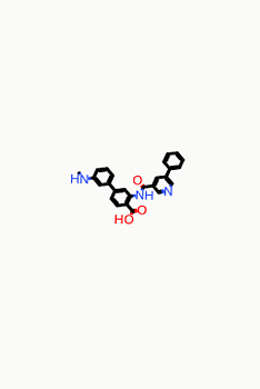 CNc1cccc(-c2ccc(C(=O)O)c(NC(=O)c3cncc(-c4ccccc4)c3)c2)c1